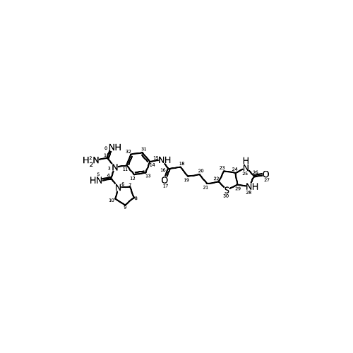 N=C(N)N(C(=N)N1CCCC1)c1ccc(NC(=O)CCCCC2CC3NC(=O)NC3S2)cc1